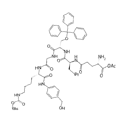 CC(=O)OC(=O)[C@@H](N)CCC(=O)N[C@@H](CC(C)C)C(=O)N[C@@H](COC(c1ccccc1)(c1ccccc1)c1ccccc1)C(=O)NCC(=O)N[C@@H](CCCCNC(=O)OC(C)(C)C)C(=O)Nc1ccc(CO)cc1